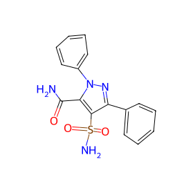 NC(=O)c1c(S(N)(=O)=O)c(-c2ccccc2)nn1-c1ccccc1